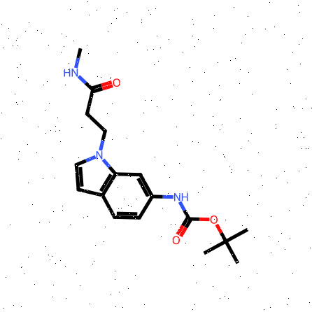 CNC(=O)CCn1ccc2ccc(NC(=O)OC(C)(C)C)cc21